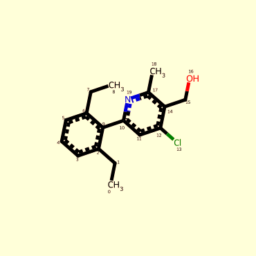 CCc1cccc(CC)c1-c1cc(Cl)c(CO)c(C)n1